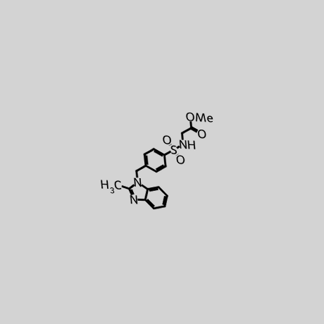 COC(=O)CNS(=O)(=O)c1ccc(Cn2c(C)nc3ccccc32)cc1